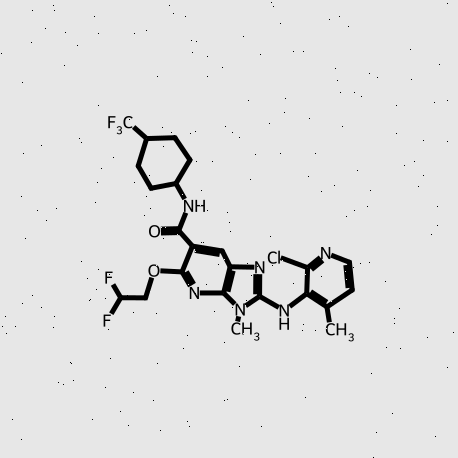 Cc1ccnc(Cl)c1Nc1nc2cc(C(=O)NC3CCC(C(F)(F)F)CC3)c(OCC(F)F)nc2n1C